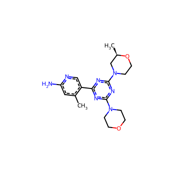 Cc1cc(N)ncc1-c1nc(N2CCOCC2)nc(N2CCO[C@H](C)C2)n1